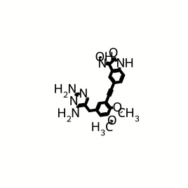 COc1cc(Cc2cnc(N)nc2N)cc(C#Cc2ccc3c(c2)C(=NO)C(=O)N3)c1OC